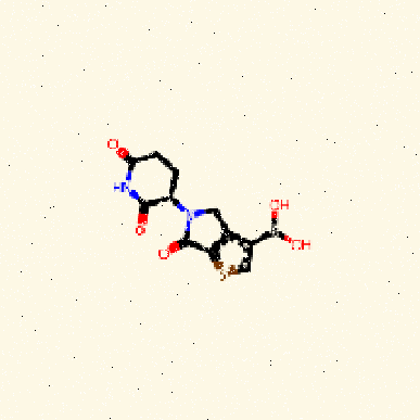 O=C1CCC(N2Cc3c(B(O)O)csc3C2=O)C(=O)N1